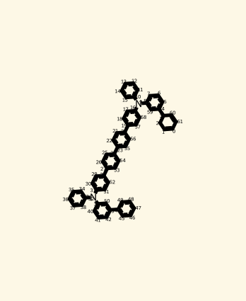 C1=CCC(c2cccc(N(c3ccccc3)c3ccc(-c4ccc(-c5ccc(-c6ccc(N(c7ccccc7)c7cccc(-c8ccccc8)c7)cc6)cc5)cc4)cc3)c2)C=C1